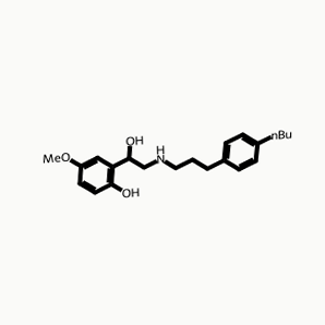 CCCCc1ccc(CCCNCC(O)c2cc(OC)ccc2O)cc1